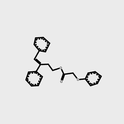 O=C(COc1ccccc1)OCC/C(=C\c1ccccc1)c1ccccc1